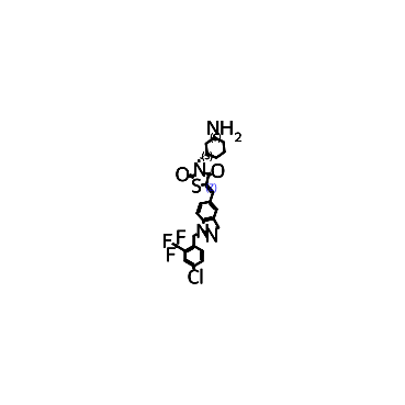 N[C@H]1CCC[C@H](CN2C(=O)S/C(=C\c3ccc4c(cnn4Cc4ccc(Cl)cc4C(F)(F)F)c3)C2=O)C1